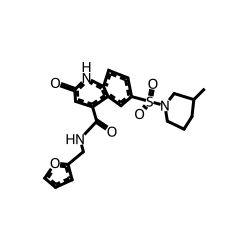 CC1CCCN(S(=O)(=O)c2ccc3[nH]c(=O)cc(C(=O)NCc4ccco4)c3c2)C1